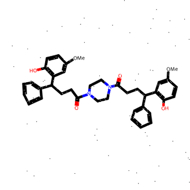 COc1ccc(O)c(C(CCC(=O)N2CCN(C(=O)CCC(c3ccccc3)c3cc(OC)ccc3O)CC2)c2ccccc2)c1